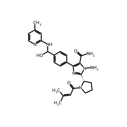 CC(C)=CC(=O)N1CCC[C@H]1c1nc(-c2ccc(C(O)Nc3cc(C)ccn3)cc2)c(C(N)=O)n1N